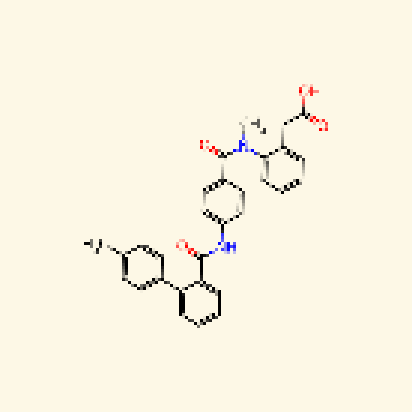 Cc1ccc(-c2ccccc2C(=O)Nc2ccc(C(=O)N(C)c3ccccc3CC(=O)O)cc2)cc1